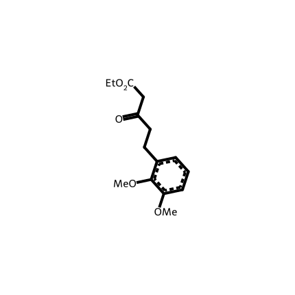 CCOC(=O)CC(=O)CCc1cccc(OC)c1OC